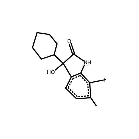 Cc1ccc2c(c1F)NC(=O)C2(O)C1CCCCC1